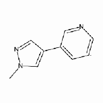 Cn1cc(-c2c[c]cnc2)cn1